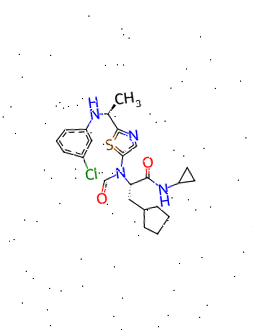 C[C@H](Nc1cccc(Cl)c1)c1ncc(N(C=O)[C@@H](CC2CCCC2)C(=O)NC2CC2)s1